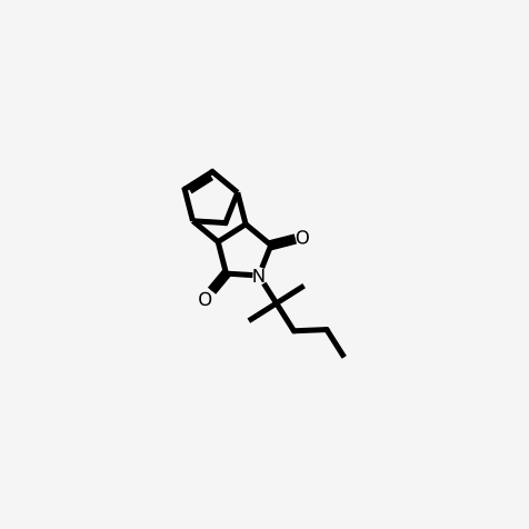 CCCC(C)(C)N1C(=O)C2C3C=CC(C3)C2C1=O